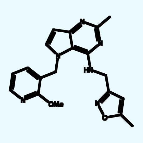 COc1ncccc1Cn1ccc2nc(C)nc(NCc3cc(C)on3)c21